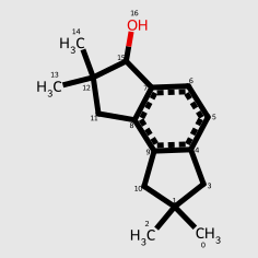 CC1(C)Cc2ccc3c(c2C1)CC(C)(C)C3O